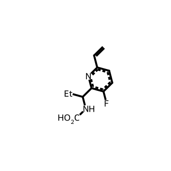 C=Cc1ccc(F)c(C(CC)NC(=O)O)n1